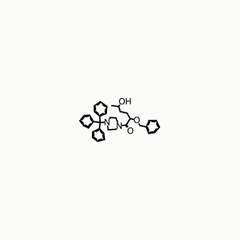 CC(O)CCC(OCc1ccccc1)C(=O)N1CCN(C(c2ccccc2)(c2ccccc2)c2ccccc2)CC1